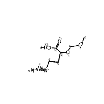 COCOC(CCN=[N+]=[N-])C(=O)O